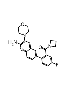 Nc1nc2ccc(-c3ccc(F)cc3C(=O)N3CCC3)cc2cc1N1CCOCC1